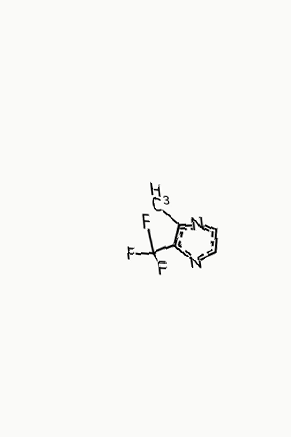 Cc1nccnc1C(F)(F)F